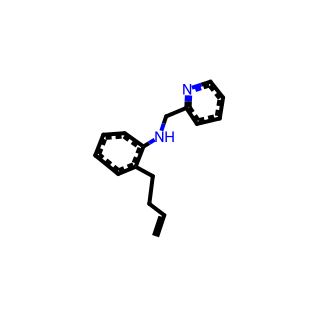 C=CCCc1ccccc1NCc1ccccn1